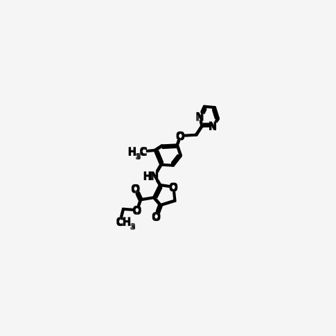 CCOC(=O)C1=C(Nc2ccc(OCc3ncccn3)cc2C)OCC1=O